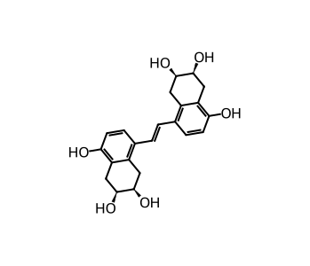 Oc1ccc(/C=C/c2ccc(O)c3c2C[C@@H](O)[C@@H](O)C3)c2c1C[C@H](O)[C@H](O)C2